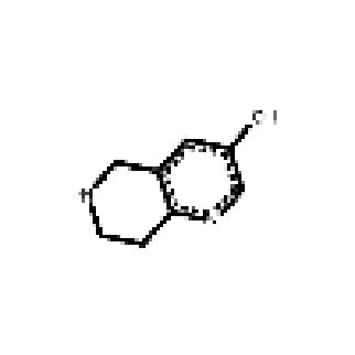 Oc1cnc2c(c1)C[N]CC2